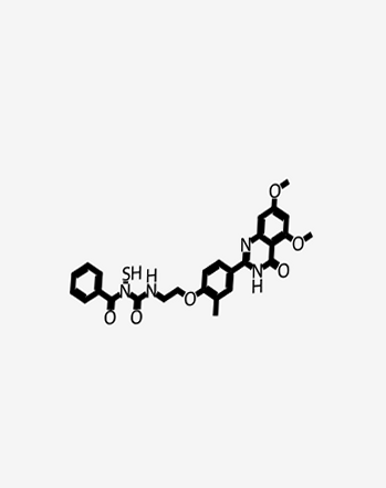 COc1cc(OC)c2c(=O)[nH]c(-c3ccc(OCCNC(=O)N(S)C(=O)c4ccccc4)c(C)c3)nc2c1